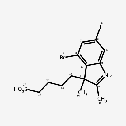 CC1=Nc2cc(I)cc(Br)c2C1(C)CCCCS(=O)(=O)O